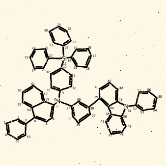 c1ccc(-c2ccc(N(c3ccc([Si](c4ccccc4)(c4ccccc4)c4ccccc4)cc3)c3cccc(-c4cccc5c4c4ccccc4n5-c4ccccc4)c3)c3ccccc23)cc1